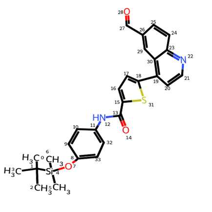 CC(C)(C)[Si](C)(C)Oc1ccc(NC(=O)c2ccc(-c3ccnc4ccc(C=O)cc34)s2)cc1